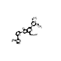 C=C[C@@H]1CN(c2cc3c(c(CNC)n2)CN(c2cccc(-c4nncn4C(C)C)n2)C3=O)C[C@H](C=C)O1